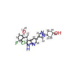 CCOc1ccc(F)c(Cl)c1[C@@H](C)c1c[nH]c2ncc(-c3cnn([C@H]4CC[C@H](O)CC4)c3C)cc12